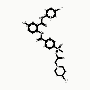 CS(=O)(=NC(=O)CN1CCC(O)CC1)c1ccc(C(=O)Nc2ccc(Cl)cc2C(=O)Nc2ccc(Cl)cn2)cc1